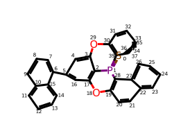 S=P12c3c(cc(-c4cccc5ccccc45)cc3Oc3ccc4ccccc4c31)Oc1ccc3ccccc3c12